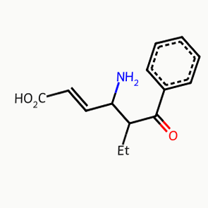 CCC(C(=O)c1ccccc1)C(N)C=CC(=O)O